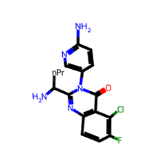 CCCC(N)c1nc2ccc(F)c(Cl)c2c(=O)n1-c1ccc(N)nc1